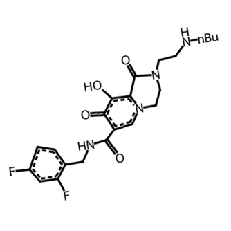 CCCCNCCN1CCn2cc(C(=O)NCc3ccc(F)cc3F)c(=O)c(O)c2C1=O